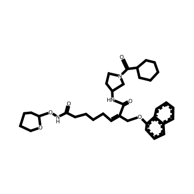 O=C(CCCCC=C(COc1cccc2ccccc12)C(=O)NC1CCN(C(=O)C2CCCCC2)C1)NOC1CCCCO1